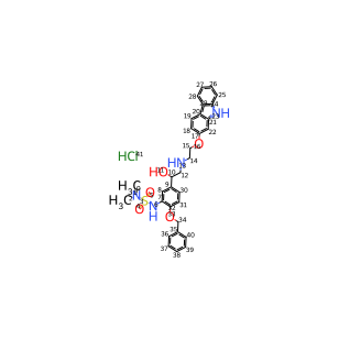 CN(C)S(=O)(=O)Nc1cc(C(O)CNCCOc2ccc3c(c2)[nH]c2ccccc23)ccc1OCc1ccccc1.Cl